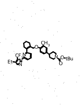 CCc1cnn(-c2cccc(C3=C(COc4ccc(C5CCN(C(=O)OC(C)(C)C)CC5)cc4C)CCCC3)n2)c1C(F)(F)F